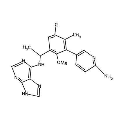 COc1c(C(C)Nc2ncnc3[nH]cnc23)cc(Cl)c(C)c1-c1ccc(N)nc1